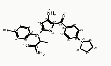 CC(C(N)=O)N(c1ccc(F)cc1)c1nc(N)c(C(=O)c2ccc(N3CCCC3)cc2)s1